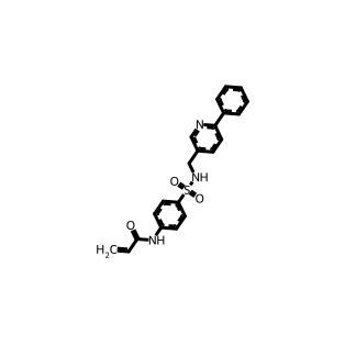 C=CC(=O)Nc1ccc(S(=O)(=O)NCc2ccc(-c3ccccc3)nc2)cc1